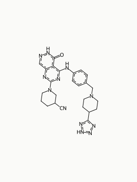 N#CC1CCCN(c2nc(Nc3ccc(CN4CCC(c5nn[nH]n5)CC4)cc3)c3c(=O)[nH]ncc3n2)C1